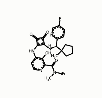 CC(C)N(C)C(=O)c1nccc(Nc2c(N[C@@H](c3ccc(F)cn3)C3(C)CCCC3)c(=O)c2=O)c1O